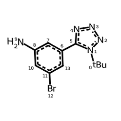 CC(C)(C)n1nnnc1-c1cc(N)cc(Br)c1